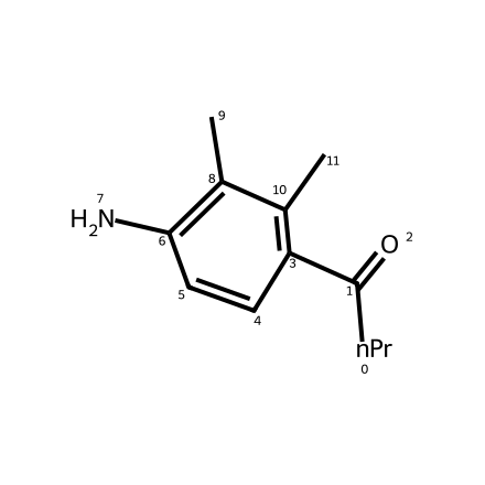 CCCC(=O)c1ccc(N)c(C)c1C